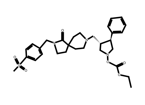 CCOC(=O)ON1C[C@H](CN2CCC3(CC2)CCN(Cc2ccc(S(C)(=O)=O)cc2)C3=O)[C@@H](c2ccccc2)C1